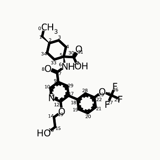 CC[C@H]1CC[C@](NC(=O)c2cnc(OCCO)c(-c3cccc(OC(F)(F)F)c3)c2)(C(=O)O)CC1